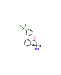 [2H]C([2H])(CC(Oc1ccc(C(F)(F)F)cc1)c1ccccc1)NC